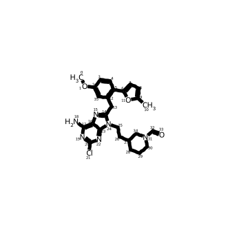 COc1ccc(-c2ccc(C)o2)c(Cc2nc3c(N)nc(Cl)nc3n2CCC2CCCN(C=O)C2)c1